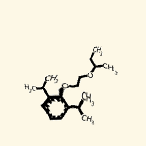 CCC(C)OCCOc1c(C(C)C)cccc1C(C)C